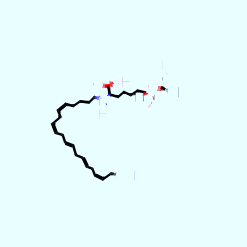 CC/C=C\CC=CCC=CC/C=C\C/C=C\CCCCNC(CCCCC(=O)OC(C)(C)C)C(=O)O